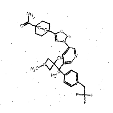 CN1CC(C)([C@](O)(c2ccc(CC(F)(F)F)cc2)c2cncc(N3C=C(C45CCC(C(N)=O)(CC4)CC5)ON3)c2)C1